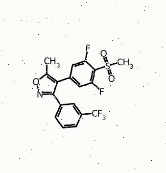 Cc1onc(-c2cccc(C(F)(F)F)c2)c1-c1cc(F)c(S(C)(=O)=O)c(F)c1